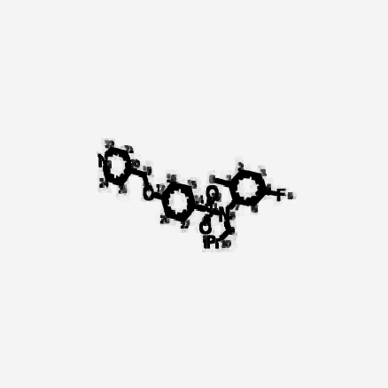 Cc1ccc(F)cc1N(CC(C)C)S(=O)(=O)c1ccc(OCc2ccncc2)cc1